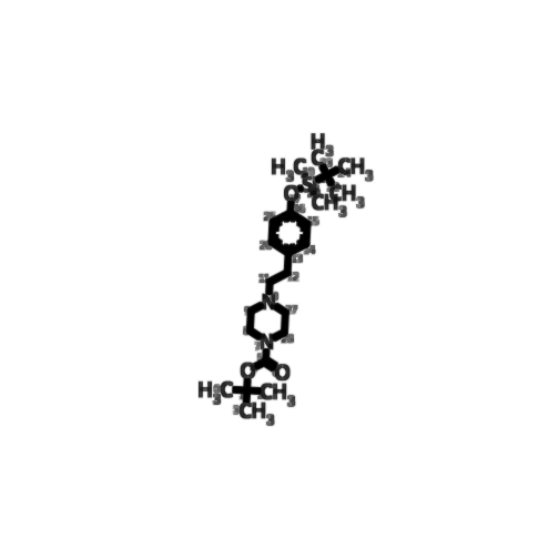 CC(C)(C)OC(=O)N1CCN(CCc2ccc(O[Si](C)(C)C(C)(C)C)cc2)CC1